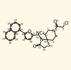 N#CC1CN(C(=O)CCl)CCC12SCC(=O)N2Cc1ccc(-c2cccc3ccccc23)o1